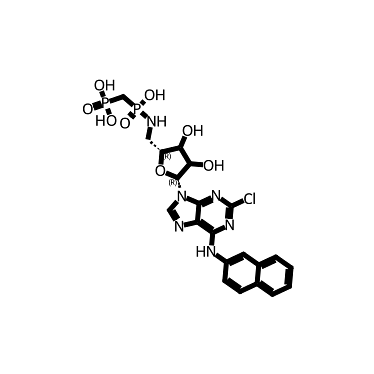 O=P(O)(O)CP(=O)(O)NC[C@H]1O[C@@H](n2cnc3c(Nc4ccc5ccccc5c4)nc(Cl)nc32)C(O)C1O